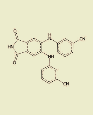 N#Cc1cccc(Nc2cc3c(cc2Nc2cccc(C#N)c2)C(=O)NC3=O)c1